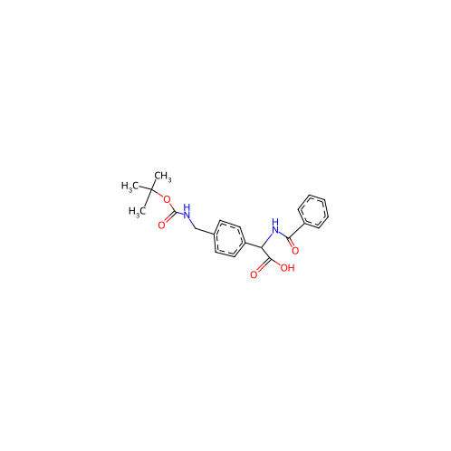 CC(C)(C)OC(=O)NCc1ccc(C(NC(=O)c2ccccc2)C(=O)O)cc1